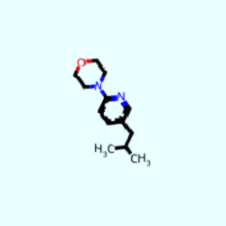 CC(C)Cc1ccc(N2CCOCC2)nc1